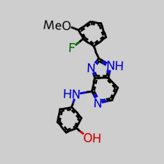 COc1cccc(-c2nc3c(Nc4cccc(O)c4)nccc3[nH]2)c1F